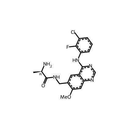 COc1cc2ncnc(Nc3cccc(Cl)c3F)c2cc1CNC(=O)[C@@H](C)N